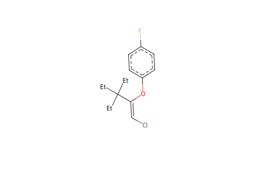 CCC(CC)(CC)/C(=C/Cl)Oc1ccc(F)cc1